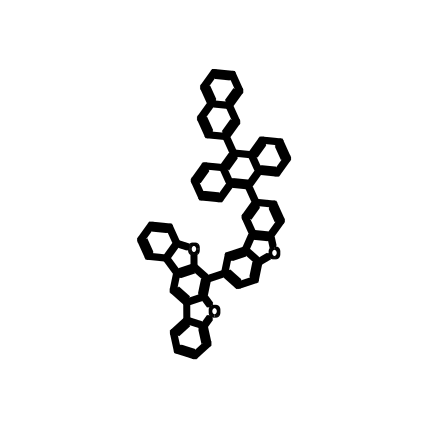 C1=CC2Oc3c(cc4c(oc5ccccc54)c3-c3ccc4oc5ccc(-c6c7ccccc7c(-c7ccc8ccccc8c7)c7ccccc67)cc5c4c3)C2C=C1